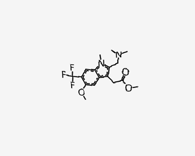 COC(=O)Cc1c(CN(C)C)n(C)c2cc(C(F)(F)F)c(OC)cc12